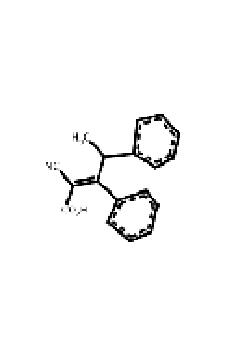 CC(C(=C(C#N)C(=O)O)c1ccccc1)c1ccccc1